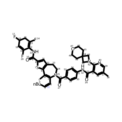 CCCC/C=C\C1=C(C)c2sc(C(=O)NC3=C(F)CC(F)C=C3F)cc2CCN1C(=O)c1ccc(NC(=O)c2cc(C)cnc2N2CC3(CCOCC3)C2)cc1